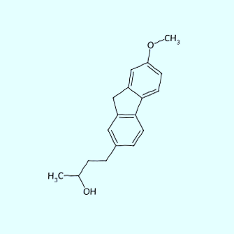 COc1ccc2c(c1)Cc1cc(CCC(C)O)ccc1-2